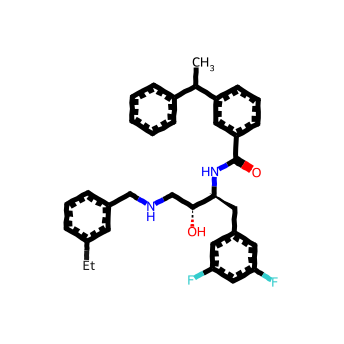 CCc1cccc(CNC[C@@H](O)[C@H](Cc2cc(F)cc(F)c2)NC(=O)c2cccc(C(C)c3ccccc3)c2)c1